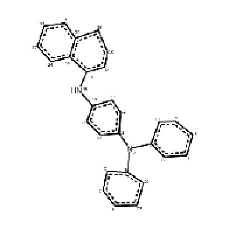 c1ccc(N(c2ccccc2)c2ccc(Nc3cccc4ccccc34)cc2)cc1